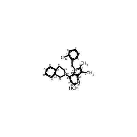 Cc1c(C)n(Cc2ccccc2Cl)c2c(N3CCc4ccccc4C3)ccnc12.Cl